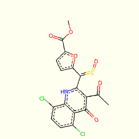 COC(=O)c1ccc(C(=S=O)c2[nH]c3c(Cl)ccc(Cl)c3c(=O)c2C(C)=O)o1